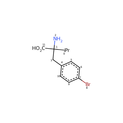 CC(C)C(N)(Cc1ccc(Br)cc1)C(=O)O